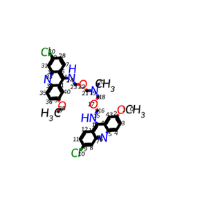 COc1ccc2nc3cc(Cl)ccc3c(NCOCN(C)COCNc3c4ccc(Cl)cc4nc4ccc(OC)cc34)c2c1